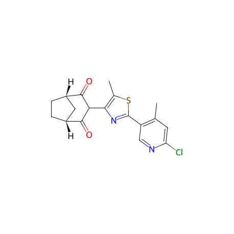 Cc1cc(Cl)ncc1-c1nc(C2C(=O)[C@@H]3CC[C@@H](C3)C2=O)c(C)s1